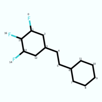 FC1CC(CCC2CCCCC2)CC(F)C1F